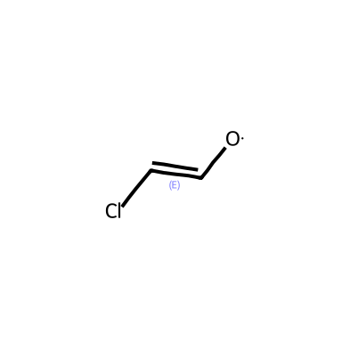 [O]/C=C/Cl